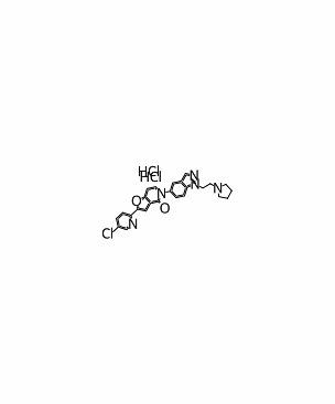 Cl.Cl.O=c1c2cc(-c3ccc(Cl)cn3)oc2ccn1-c1ccc2c(cnn2CCN2CCCC2)c1